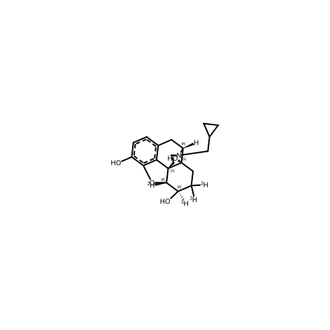 [2H]C1([2H])C[C@@]2(O)[C@H]3Cc4ccc(O)c5c4[C@@]2(CCN3CC2CC2)[C@@]([2H])(O5)[C@]1([2H])O